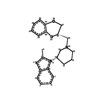 Cc1nc2ccccc2n1[C@H]1CCCN(C[C@H]2COc3ccccc3O2)C1